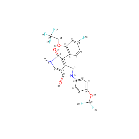 Cn1cc2c(c(-c3ccc(F)cc3OCC(F)(F)F)c1=O)CN(c1ccc(OC(F)F)cc1)C2=O